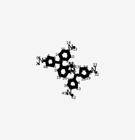 CN(C)c1ccc(C(c2ccc(N(C)C)cc2)c2cccc3c2nnn3C(c2ccc(N(C)C)cc2)c2ccc(N(C)C)cc2)cc1